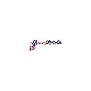 CN(C)c1ccc(-c2ccc(-c3nc4ccc(OCCOCCNc5cccc6c5C(=O)N(C5CCC(=O)NC5=O)C6=O)cc4s3)cn2)cn1